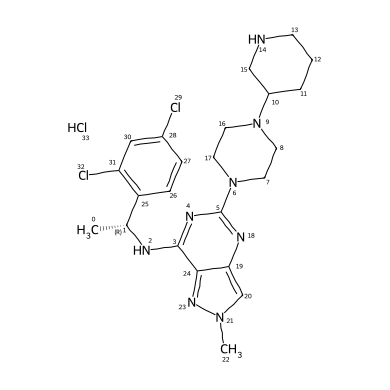 C[C@@H](Nc1nc(N2CCN(C3CCCNC3)CC2)nc2cn(C)nc12)c1ccc(Cl)cc1Cl.Cl